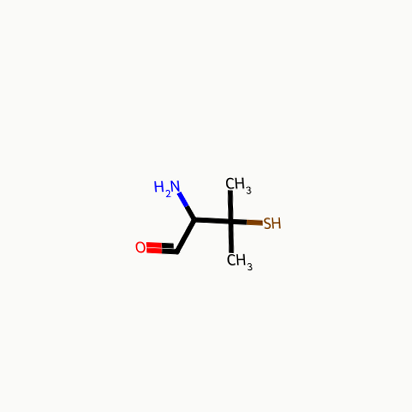 CC(C)(S)C(N)C=O